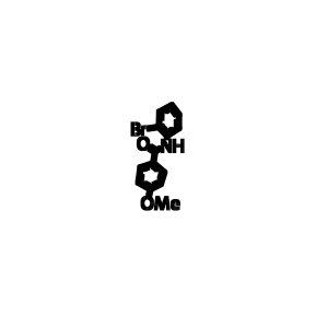 COc1ccc(C(=O)Nc2ccccc2Br)cc1